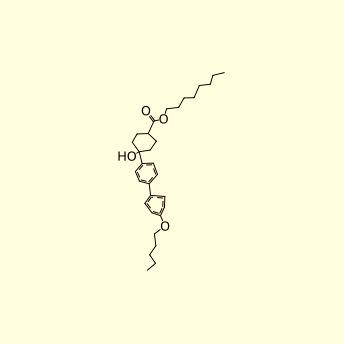 CCCCCCCCOC(=O)C1CCC(O)(c2ccc(-c3ccc(OCCCCC)cc3)cc2)CC1